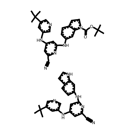 CC(C)(C)OC(=O)n1ccc2ccc(Nc3cc(Nc4cncc(C(C)(C)C)c4)cc(C#N)n3)cc21.CC(C)(C)c1cncc(Nc2cc(C#N)nc(Nc3ccc4cc[nH]c4c3)c2)c1